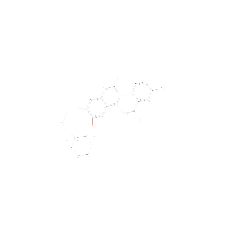 Cc1nc(NC(C)c2cc(N)cc(C(F)(F)F)c2)c2cc3c(cc2n1)OCCO[C@@H]1CCCC[C@@H]1O3